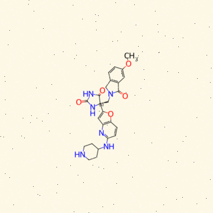 COc1ccc2c(c1)C(=O)N(C[C@@]1(c3cc4nc(NC5CCNCC5)ccc4o3)NC(=O)NC1=O)C2